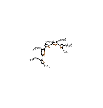 CCCCCc1cc(-c2sc(-c3sc(-c4sc(-c5sc(C)cc5CCCCC)cc4CCCCC)cc3CCCCC)cc2CCCCC)sc1C